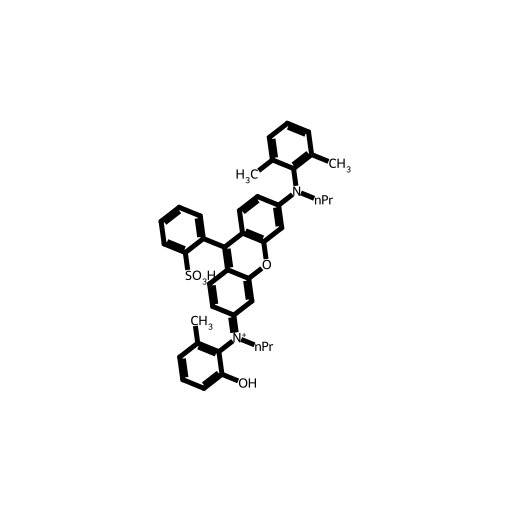 CCCN(c1ccc2c(-c3ccccc3S(=O)(=O)O)c3cc/c(=[N+](/CCC)c4c(C)cccc4O)cc-3oc2c1)c1c(C)cccc1C